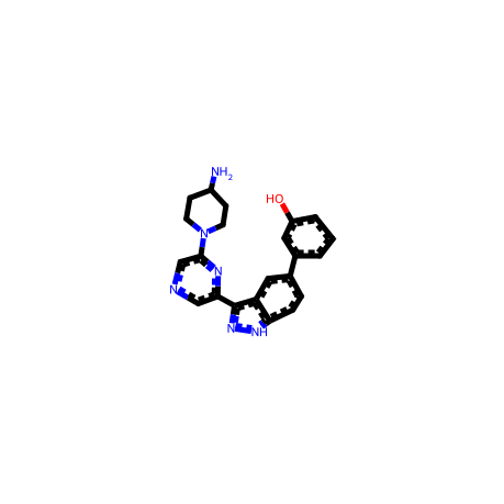 NC1CCN(c2cncc(-c3n[nH]c4ccc(-c5cccc(O)c5)cc34)n2)CC1